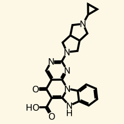 O=C(O)c1c(=O)c2cnc(N3CC4CN(C5CC5)CC4C3)nc2n2c1[nH]c1ccccc12